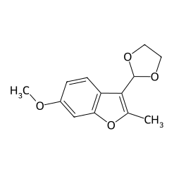 COc1ccc2c(C3OCCO3)c(C)oc2c1